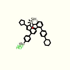 CC1=Cc2c(-c3ccc(C4CCCCC4)cc3)cccc2[CH]1[Zr]([CH3])([CH3])(=[SiH2])[CH]1C(C2CCCC2)=Cc2c(-c3ccc(C(C)(C)C)cc3)cccc21.Cl.Cl